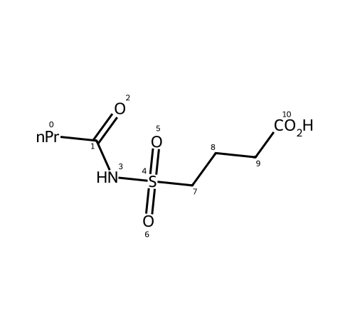 CCCC(=O)NS(=O)(=O)CCCC(=O)O